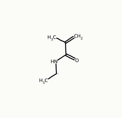 C=C(C)C(=O)N[CH]C